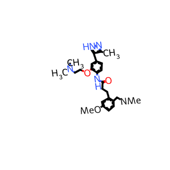 CNCc1ccc(OC)cc1CCC(=O)Nc1ccc(-c2c[nH]nc2C)cc1OCCN(C)C